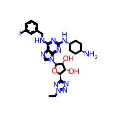 CCn1nnc([C@H]2O[C@@H](n3cnc4c(NCc5cccc(I)c5)nc(N[C@H]5CC[C@H](N)CC5)nc43)[C@H](O)[C@@H]2O)n1